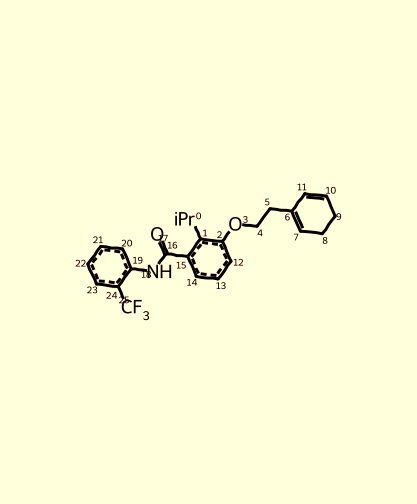 CC(C)c1c(OCCC2=CCCC=C2)cccc1C(=O)Nc1ccccc1C(F)(F)F